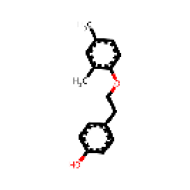 Cc1ccc(OCCc2ccc(O)cc2)c(C)c1